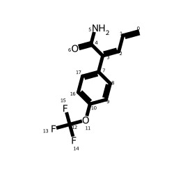 C=CC=C(C(N)=O)c1ccc(OC(F)(F)F)cc1